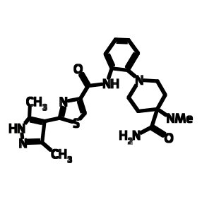 CNC1(C(N)=O)CCN(c2ccccc2NC(=O)c2csc(-c3c(C)n[nH]c3C)n2)CC1